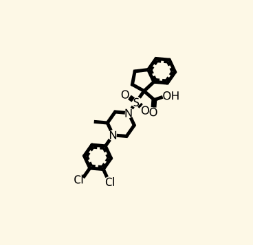 CC1CN(S(=O)(=O)C2(C(=O)O)CCc3ccccc32)CCN1c1ccc(Cl)c(Cl)c1